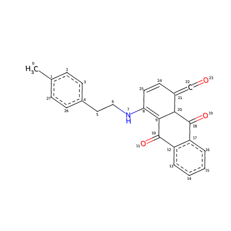 Cc1ccc(CCNC2=C3C(=O)c4ccccc4C(=O)C3C(=C=O)C=C2)cc1